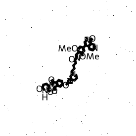 COc1cc(-c2cn(C)c(=O)c3cnccc23)cc(OC)c1CN(C)C(=O)CCCCN1CCCC2(CC(Oc3ccc4c(c3)C(=O)N([C@@H]3CCC(=O)NC3=O)C4=O)C2)C1